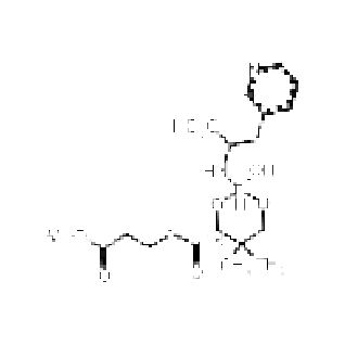 COC(=O)CCNC(=O)[C@@H]1O[PH](O)(NC(Cc2cccnc2)C(=O)O)OCC1(C)C